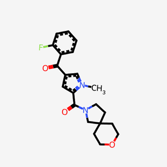 Cn1cc(C(=O)c2ccccc2F)cc1C(=O)N1CCC2(CCOCC2)C1